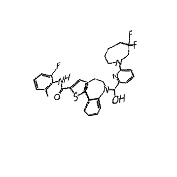 Cc1cccc(F)c1NC(=O)c1cc2c(s1)-c1ccccc1N(C(O)c1cccc(N3CCCCC(F)(F)C3)n1)CC2